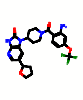 Nc1cc(OC(F)(F)F)ccc1C(=O)N1CCC(n2c(=O)[nH]c3ncc(C4CCCO4)cc32)CC1